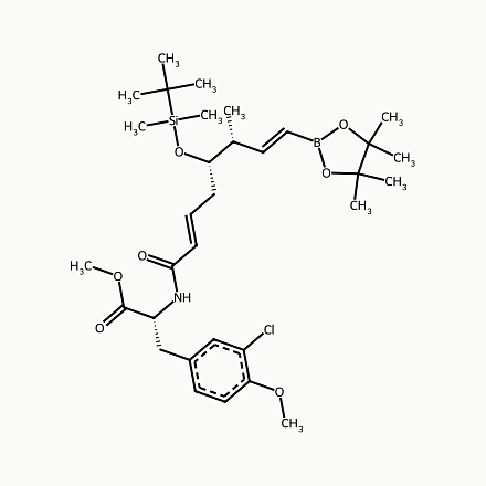 COC(=O)[C@@H](Cc1ccc(OC)c(Cl)c1)NC(=O)/C=C/C[C@H](O[Si](C)(C)C(C)(C)C)[C@H](C)/C=C/B1OC(C)(C)C(C)(C)O1